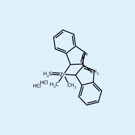 CC1=Cc2ccccc2[CH]1[Zr]([CH3])([CH3])(=[SiH2])[CH]1C(C(C)C)=Cc2ccccc21.Cl.Cl